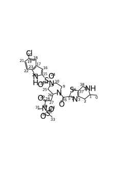 CC1Cc2nc(C(=O)N3CCN(S(=O)(=O)c4cc5cc(Cl)ccc5[nH]4)CC3CC(=O)N(C)S(C)(=O)=O)sc2CN1